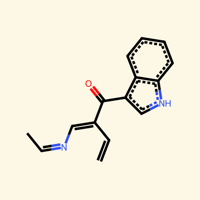 C=C/C(=C\N=C/C)C(=O)c1c[nH]c2ccccc12